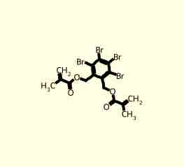 C=C(C)C(=O)OCc1c(Br)c(Br)c(Br)c(Br)c1COC(=O)C(=C)C